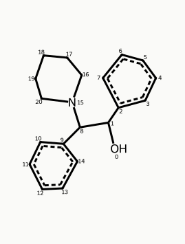 OC(c1ccccc1)C(c1ccccc1)N1CCCCC1